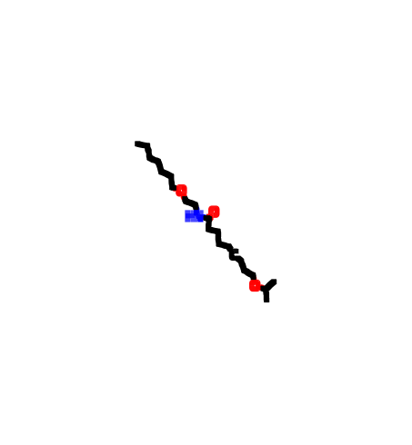 CCCCCCCOCCNC(=O)CCCCCCCCOC(C)C